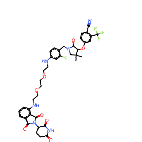 CC1(C)CN(Cc2ccc(NCCOCCOCCNc3cccc4c3C(=O)N(C3CCC(=O)NC3=O)C4=O)cc2F)C(=O)C1Oc1ccc(C#N)c(C(F)(F)F)c1